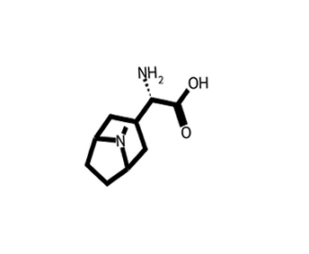 CN1C2CCC1CC([C@H](N)C(=O)O)C2